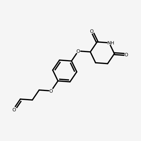 O=CCCOc1ccc(OC2CCC(=O)NC2=O)cc1